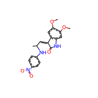 COc1cc2c(cc1OC)C(=CC(C)Nc1ccc([N+](=O)[O-])cc1)C(=O)N2